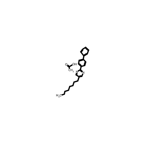 CC(=O)O.CCCCCCCCc1cnc(-c2ccc(-c3ccccc3)cc2)nc1